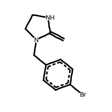 C=C1NCCN1Cc1ccc(Br)cc1